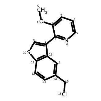 COc1cccnc1-c1csc2ccc(CCl)cc12